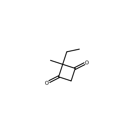 CCC1(C)C(=O)CC1=O